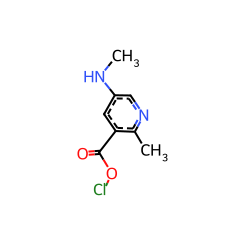 CNc1cnc(C)c(C(=O)OCl)c1